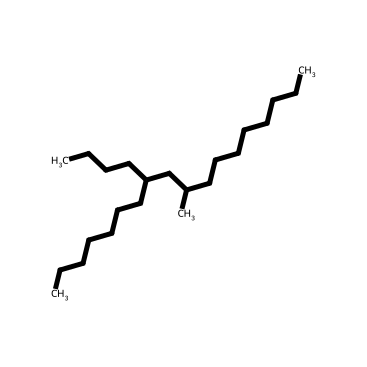 CCCCCCCCC(C)[CH]C(CCCC)CCCCCCC